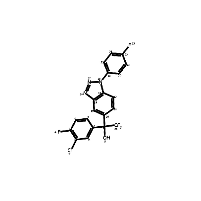 OC(c1ccc(F)c(Cl)c1)(c1ccc2c(c1)nnn2-c1ccc(F)cc1)C(F)(F)F